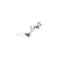 CC1Cn2nc3ncc(-c4ccc(CC(=O)Nc5cc(C6(C(F)(F)F)CC6)on5)c(F)c4)cc3c2O1